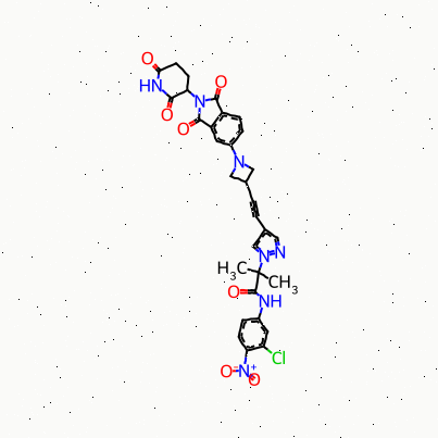 CC(C)(C(=O)Nc1ccc([N+](=O)[O-])c(Cl)c1)n1cc(C#CC2CN(c3ccc4c(c3)C(=O)N(C3CCC(=O)NC3=O)C4=O)C2)cn1